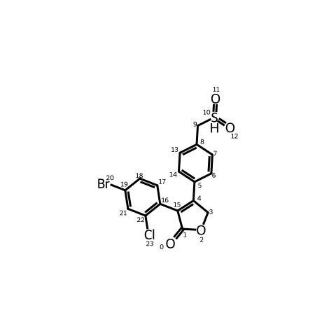 O=C1OCC(c2ccc(C[SH](=O)=O)cc2)=C1c1ccc(Br)cc1Cl